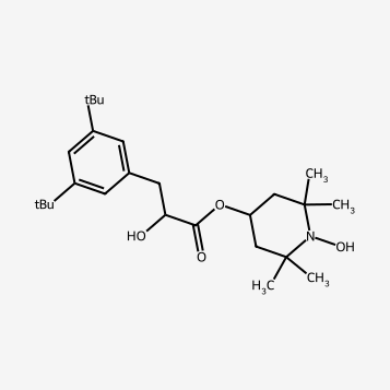 CC(C)(C)c1cc(CC(O)C(=O)OC2CC(C)(C)N(O)C(C)(C)C2)cc(C(C)(C)C)c1